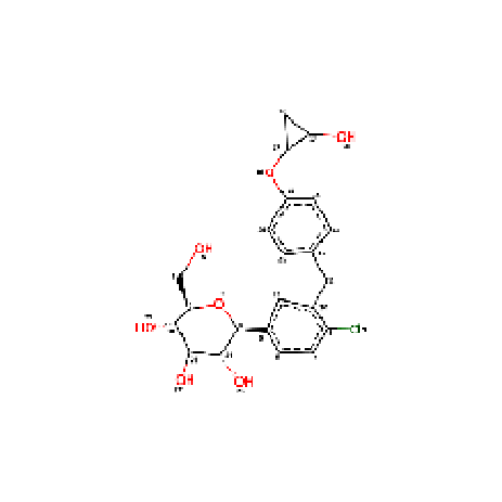 OC[C@H]1O[C@@H](c2ccc(Cl)c(Cc3ccc(OC4CC4O)cc3)c2)[C@H](O)C(O)[C@@H]1O